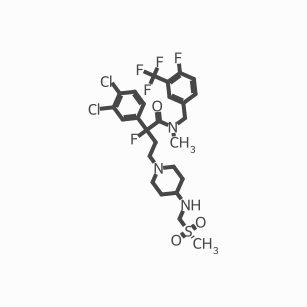 CN(Cc1ccc(F)c(C(F)(F)F)c1)C(=O)C(F)(CCN1CCC(NCS(C)(=O)=O)CC1)c1ccc(Cl)c(Cl)c1